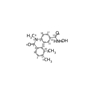 Cc1ccc(C(=O)N(C)c2ccc(C(=O)NO)cc2)cc1C